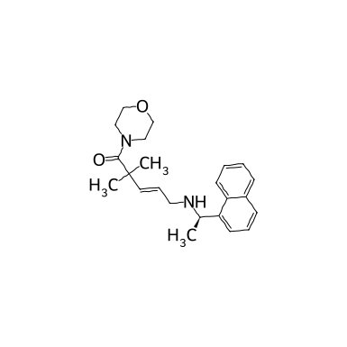 C[C@@H](NC/C=C/C(C)(C)C(=O)N1CCOCC1)c1cccc2ccccc12